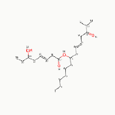 CCCCCCC(C/C=C/CC(=O)C(C)C)OC(=O)C/C=C/CC(O)CC